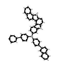 c1ccc(-c2ccc(N(c3ccc(-c4ccc5ccccc5c4)cc3)c3ccc4c(c3)sc3ccc5oc6c7ccccc7ccc6c5c34)cc2)cc1